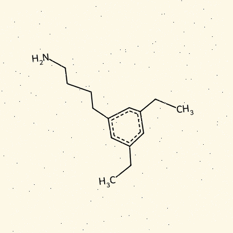 CCc1cc(CC)cc(CCCCN)c1